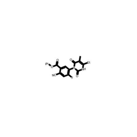 CCc1[nH]c(=O)n(-c2cc(C(=O)OC(C)C)c(C#N)cc2F)c(=O)c1C